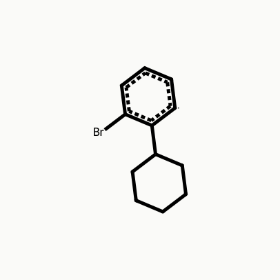 Brc1ccc[c]c1C1CCCCC1